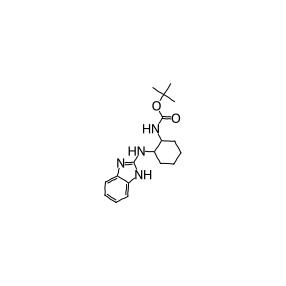 CC(C)(C)OC(=O)NC1CCCCC1Nc1nc2ccccc2[nH]1